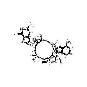 C=C[C@@]12COP(O)(=S)O[C@@H]3[C@H](O)[C@@H](COP(O)(=S)O[C@H]1[C@@](OC)(n1cnc4c(N)ncnc41)CO2)S[C@H]3n1cnc2c(=O)[nH]c(N)nc21